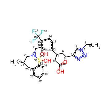 CCn1cc(CCC(CC(=O)O)c2ccc(C(F)(F)F)c(CN3CC(C)Cc4ccccc4S3(O)O)c2)nn1